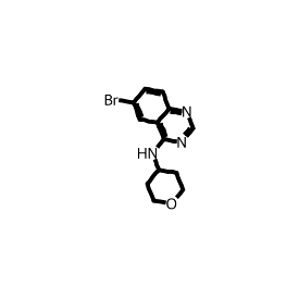 Brc1ccc2ncnc(NC3CCOCC3)c2c1